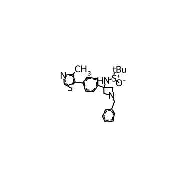 Cc1ncsc1-c1ccc(C2(N[S+]([O-])C(C)(C)C)CN(Cc3ccccc3)C2)cc1